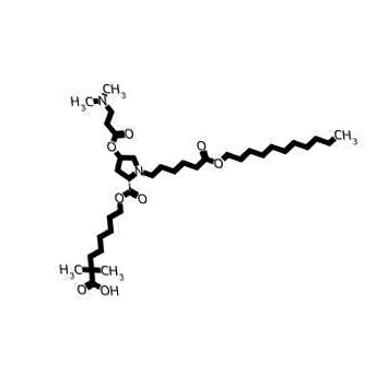 CCCCCCCCCCCOC(=O)CCCCCN1CC(OC(=O)CCN(C)C)C[C@H]1C(=O)OCCCCCCC(C)(C)C(=O)O